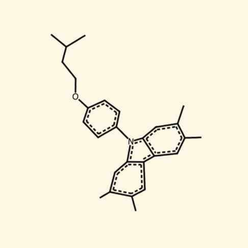 Cc1cc2c3cc(C)c(C)cc3n(-c3ccc(OCCC(C)C)cc3)c2cc1C